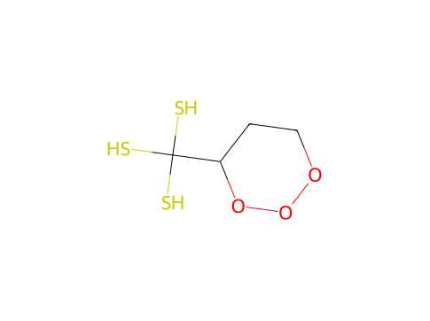 SC(S)(S)C1CCOOO1